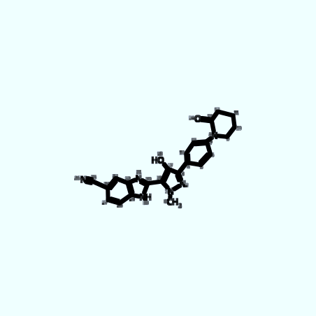 Cn1nc(-c2ccc(N3CCCCC3=O)cc2)c(O)c1-c1nc2cc(C#N)ccc2[nH]1